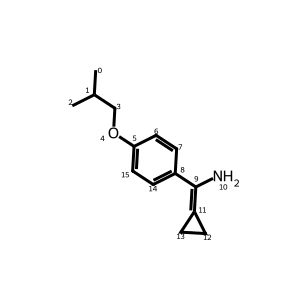 CC(C)COc1ccc(C(N)=C2CC2)cc1